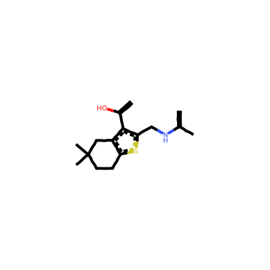 C=C(C)NCc1sc2c(c1C(=C)O)CC(C)(C)CC2